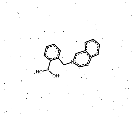 OB(O)c1ccccc1C[n+]1ccc2ccccc2c1